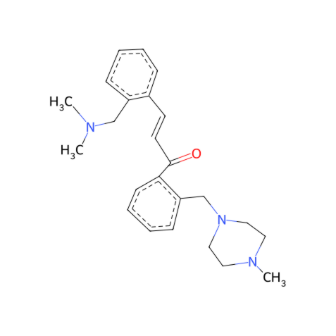 CN(C)Cc1ccccc1C=CC(=O)c1ccccc1CN1CCN(C)CC1